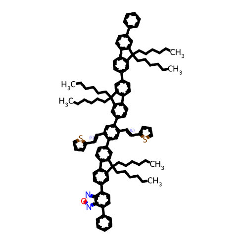 CCCCCCC1(CCCCCC)c2cc(-c3ccccc3)ccc2-c2ccc(-c3ccc4c(c3)C(CCCCCC)(CCCCCC)c3cc(-c5cc(/C=C/c6cccs6)c(-c6ccc7c(c6)C(CCCCCC)(CCCCCC)c6cc(-c8ccc(-c9ccccc9)c9nonc89)ccc6-7)cc5/C=C/c5cccs5)ccc3-4)cc21